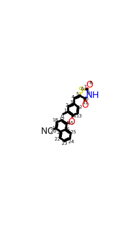 Cc1cc(/C=C2/SC(=O)NC2=O)ccc1Oc1ccc(C#N)c2ccccc12